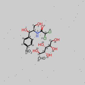 O=C(N[C@H](CO)[C@H](O)c1ccc([N+](=O)[O-])cc1)C(Cl)Cl.O=C[C@H](O)[C@@H](O)[C@H](O)[C@H](O)CO